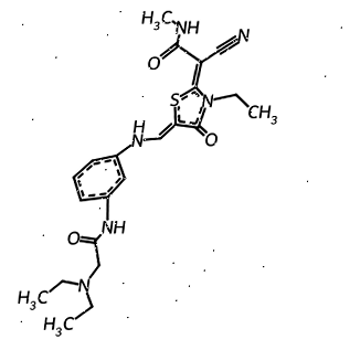 CCN(CC)CC(=O)Nc1cccc(NC=c2sc(=C(C#N)C(=O)NC)n(CC)c2=O)c1